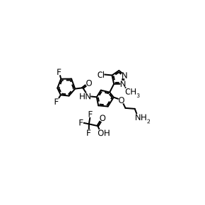 Cn1ncc(Cl)c1-c1cc(NC(=O)c2cc(F)cc(F)c2)ccc1OCCN.O=C(O)C(F)(F)F